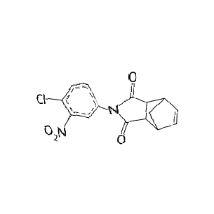 O=C1C2C3C=CC(C3)C2C(=O)N1c1ccc(Cl)c([N+](=O)[O-])c1